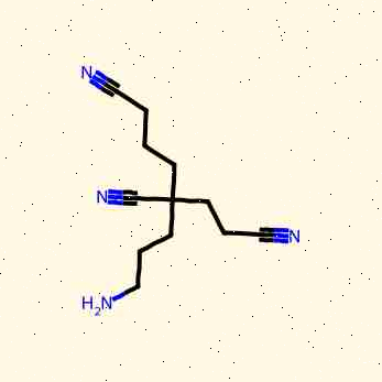 N#CCCCC(C#N)(CCC#N)CCCN